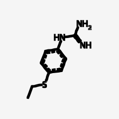 CCSc1ccc(NC(=N)N)cc1